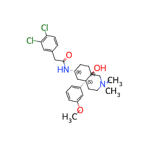 COc1cccc([C@@]23CC[N+](C)(C)C[C@@]2(O)CC[C@@H](NC(=O)Cc2ccc(Cl)c(Cl)c2)C3)c1